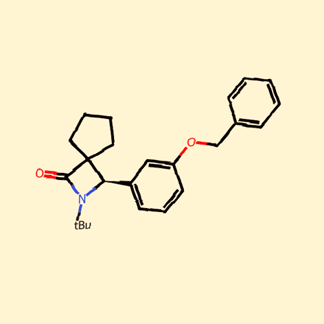 CC(C)(C)N1C(=O)C2(CCCC2)[C@H]1c1cccc(OCc2ccccc2)c1